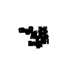 CC(C)(C)OC(=O)N1CC(Cn2c(Nc3ccc(Br)s3)nc3ccccc32)C1